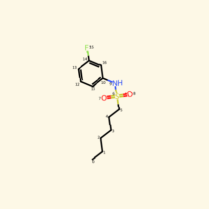 CCCCCCS(=O)(=O)Nc1cccc(F)c1